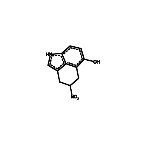 O=[N+]([O-])C1Cc2c[nH]c3ccc(O)c(c23)C1